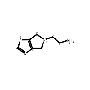 NCCN1Cc2ncsc2C1